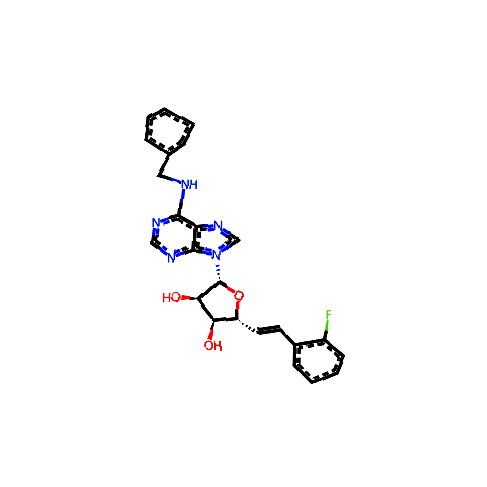 O[C@@H]1[C@H](O)[C@@H](C=Cc2ccccc2F)O[C@H]1n1cnc2c(NCc3ccccc3)ncnc21